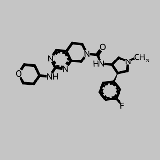 CN1CC(NC(=O)N2CCc3cnc(NC4CCOCC4)nc3C2)[C@H](c2cccc(F)c2)C1